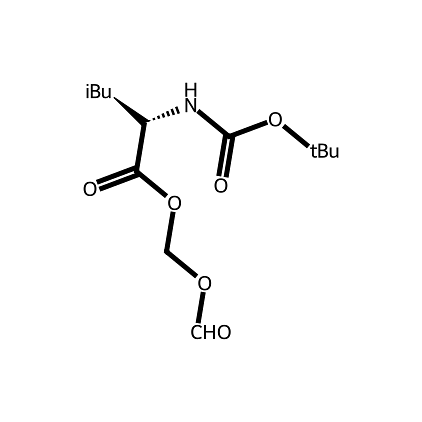 CC[C@H](C)[C@H](NC(=O)OC(C)(C)C)C(=O)OCOC=O